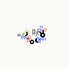 C[C@@H](CC(F)(F)F)NC(=O)O[C@H]1CC[C@@H](c2cnc(Nc3ccc4c(c3)C(C)(C)NC4=O)nc2)C1